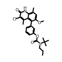 CCCN(C(=O)Oc1cccc(-c2c(OC)cc(C)c3[nH]c(=O)c(Cl)c(C)c23)c1)C(C)(C)C